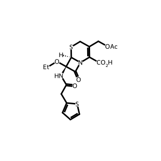 CCO[C@@]1(NC(=O)Cc2cccs2)C(=O)N2C(C(=O)O)=C(COC(C)=O)CS[C@@H]21